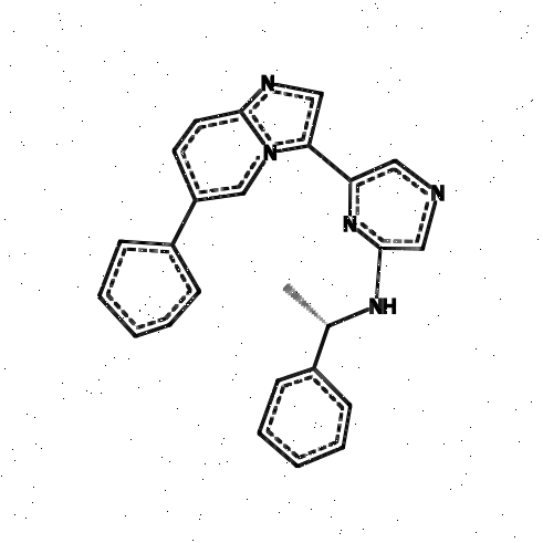 C[C@H](Nc1cncc(-c2cnc3ccc(-c4ccccc4)cn23)n1)c1ccccc1